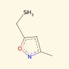 Cc1cc(C[SiH3])on1